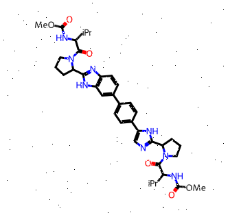 COC(=O)NC(C(=O)N1CCCC1c1ncc(-c2ccc(-c3ccc4nc(C5CCCN5C(=O)C(NC(=O)OC)C(C)C)[nH]c4c3)cc2)[nH]1)C(C)C